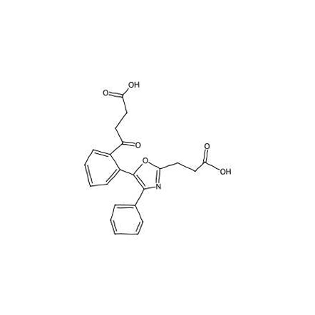 O=C(O)CCC(=O)c1ccccc1-c1oc(CCC(=O)O)nc1-c1ccccc1